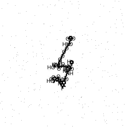 CC[C@@]1(O)C(=O)OCc2c1cc1n(c2=O)Cc2c-1nc1cc(F)c(C)c3c1c2[C@@H](NC(=O)CCCNC(=O)CNC(=O)[C@H](Cc1ccccc1)NC(=O)CNC(=O)CNC(=O)[C@H](CC(=O)O)NC(=O)CCOCCOCCOCCOCCNC(=O)CCN1C(=O)C=CC1=O)CC3